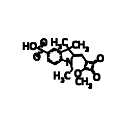 CCN1/C(=C\c2c(OC)c(=O)c2=O)C(C)(C)c2cc(S(=O)(=O)O)ccc21